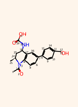 CC(=O)N1c2ccc(-c3ccc(CO)cc3)cc2[C@H](NC(=O)O)C[C@@H]1C